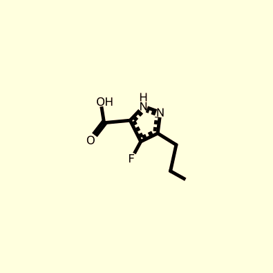 CCCc1n[nH]c(C(=O)O)c1F